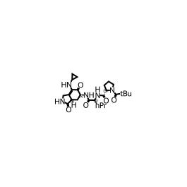 CCC[C@H](NC(=O)[C@@H]1CCCN1C(=O)C(C)(C)C)C(=O)N[C@H]1C[C@H]2C(=O)NCC2=C(NC2CC2)C1=O